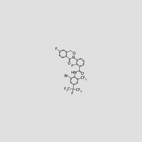 O=C(Nc1c(Br)cc(C(F)(C(F)(F)F)C(F)(F)F)cc1C(F)(F)F)c1cccc(N2OCc3cc(F)ccc3C2=O)c1F